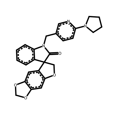 O=C1N(Cc2ccc(N3CCCC3)nc2)c2ccccc2C12COc1cc3c(cc12)OCO3